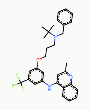 Cc1cc(Nc2cc(OCCCN(Cc3ccccc3)C(C)(C)C)cc(C(F)(F)F)c2)c2ccccc2n1